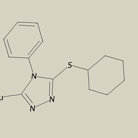 CCC(C)c1nnc(SC2CCCCC2)n1-c1ccccc1